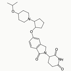 CC(C)OC1CCN(C2CCCC2Oc2ccc3c(c2)CN(C2CCC(=O)NC2=O)C3=O)CC1